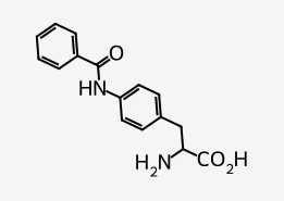 NC(Cc1ccc(NC(=O)c2ccccc2)cc1)C(=O)O